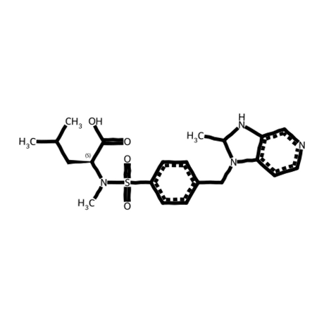 CC(C)C[C@@H](C(=O)O)N(C)S(=O)(=O)c1ccc(CN2c3ccncc3NC2C)cc1